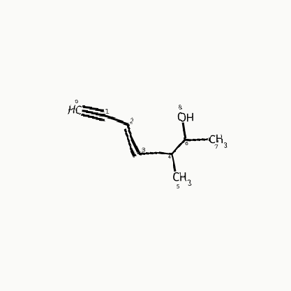 C#C/C=C/C(C)C(C)O